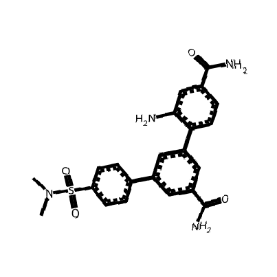 CN(C)S(=O)(=O)c1ccc(-c2cc(C(N)=O)cc(-c3ccc(C(N)=O)cc3N)c2)cc1